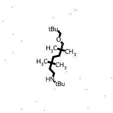 CC(C)(C)COCC(C)(C)CCC(C)(C)CCNC(C)(C)C